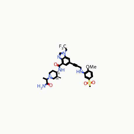 COc1ccc(S(C)(=O)=O)cc1NCC#Cc1cc(C(=O)N[C@H]2CCN(C(C)C(N)=O)C[C@@H]2C)c2ncn(CC(F)(F)F)c2c1